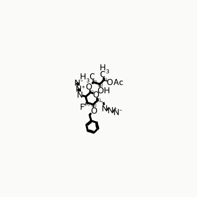 CC(=O)O[C@@H](C)[C@@H](O)[C@@H](C)O[C@H]1O[C@H](CN=[N+]=[N-])[C@@H](OCc2ccccc2)[C@H](F)C1N=[N+]=[N-]